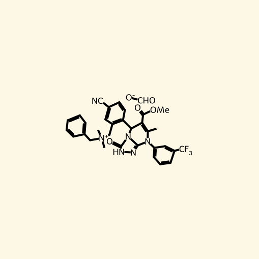 COC(=O)C1=C(C)N(c2cccc(C(F)(F)F)c2)c2n[nH]c(=O)n2C1c1ccc(C#N)cc1C[N+](C)(C)Cc1ccccc1.O=C[O-]